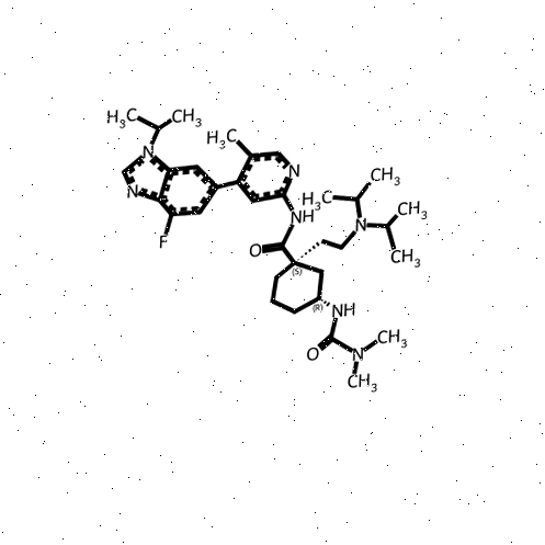 Cc1cnc(NC(=O)[C@]2(CCN(C(C)C)C(C)C)CCC[C@@H](NC(=O)N(C)C)C2)cc1-c1cc(F)c2ncn(C(C)C)c2c1